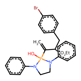 C=C(C(Cc1ccc(Br)cc1)C(=O)OCC)[P]1(O)N(c2ccccc2)CCN1c1ccccc1